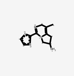 CC1=C2CC(N)CN2C(c2nccs2)=NC1